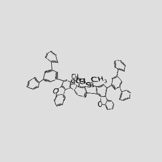 C[Si]1(C)c2cc(-c3cc(-c4ccccc4)cc(-c4ccccc4)c3)c3c(oc4ccccc43)c2-c2ccc3c(c21)[Si](C)(C)c1cc(-c2cc(-c4ccccc4)cc(-c4ccccc4)c2)c2oc4ccccc4c2c1-3